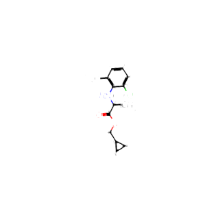 Cc1cccc(Cl)c1NC(C)C(=O)OCC1CC1